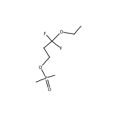 CCOC(F)(F)CCOP(C)(C)=O